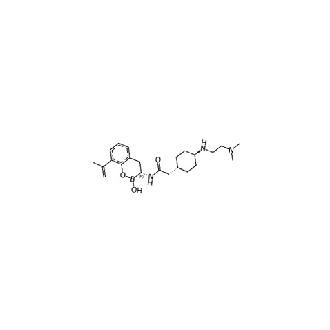 C=C(C)c1cccc2c1OB(O)[C@@H](NC(=O)C[C@H]1CC[C@H](NCCN(C)C)CC1)C2